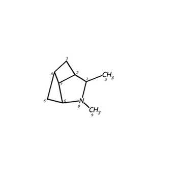 CC1C2CC3CC(C32)N1C